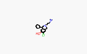 CN(C)CCCCN1C=C(C2=CCCCC2)c2cc(O)c(Cl)cc2CC1